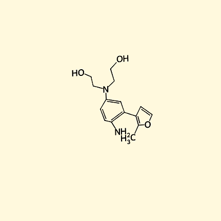 Cc1occc1-c1cc(N(CCO)CCO)ccc1N